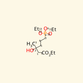 CCOC(=O)CC(C)(O)CCCP(=O)(OCC)OCC